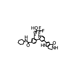 O=C(NC1CCCCC1)c1ccc(-c2cc(-c3cc4c([nH]3)CCNC4=O)ccn2)c(F)c1.O=C(O)C(F)(F)F